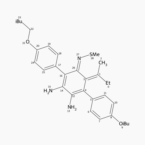 CC/C(C)=C1\C(c2ccc(OCC(C)C)cc2)=C(N)C(N)=C(c2ccc(OCC(C)CC)cc2)\C1=N\SC